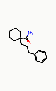 NC(=O)C1(CCCc2ccccc2)CCCCC1